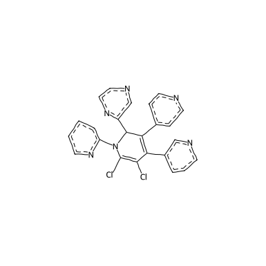 ClC1=C(Cl)N(c2ccccn2)C(c2cnccn2)C(c2ccncc2)=C1c1cccnc1